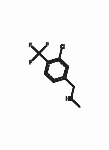 CNCc1ccc(C(F)(F)F)c(Cl)c1